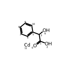 O=C(O)C(O)c1ccccc1.[Cd]